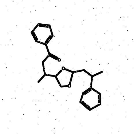 CC(CC1OCC(C(C)CC(=O)c2ccccc2)O1)c1ccccc1